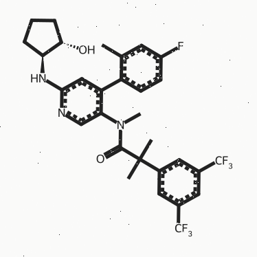 Cc1cc(F)ccc1-c1cc(N[C@H]2CCC[C@@H]2O)ncc1N(C)C(=O)C(C)(C)c1cc(C(F)(F)F)cc(C(F)(F)F)c1